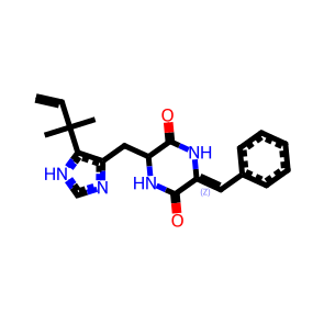 C=CC(C)(C)c1[nH]cnc1CC1NC(=O)/C(=C/c2ccccc2)NC1=O